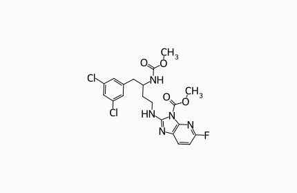 COC(=O)NC(CCNc1nc2ccc(F)nc2n1C(=O)OC)Cc1cc(Cl)cc(Cl)c1